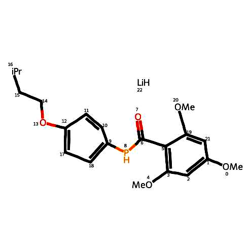 COc1cc(OC)c(C(=O)Pc2ccc(OCCC(C)C)cc2)c(OC)c1.[LiH]